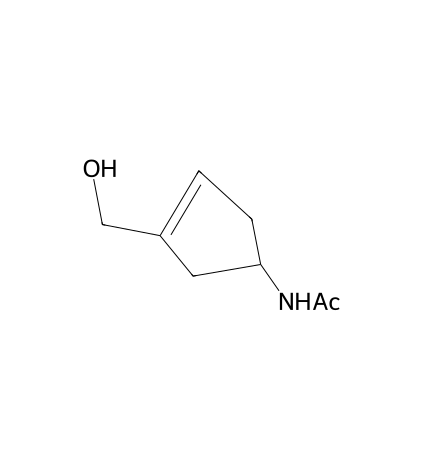 CC(=O)NC1CC=C(CO)C1